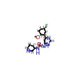 COc1ccc(F)cc1-c1cc(NC(=O)Nc2cccnc2)ncn1